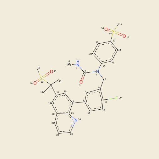 CC(C)NC(=O)N(Cc1cc(-c2cc(C(C)(C)S(C)(=O)=O)cc3cccnc23)ccc1F)c1ccc(S(C)(=O)=O)cc1